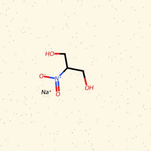 O=[N+]([O-])C(CO)CO.[Na+]